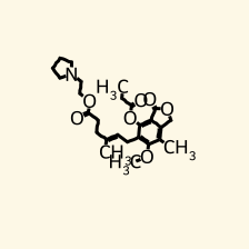 CCC(=O)Oc1c(C/C=C(\C)CCC(=O)OCCN2CCCC2)c(OC)c(C)c2c1C(=O)OC2